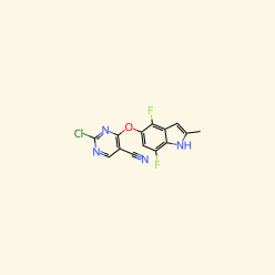 Cc1cc2c(F)c(Oc3nc(Cl)ncc3C#N)cc(F)c2[nH]1